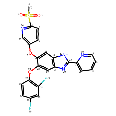 CCS(=O)(=O)c1ccc(Oc2cc3[nH]c(-c4ccccn4)nc3cc2Oc2ccc(F)cc2F)cn1